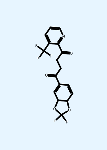 O=C(CCC(=O)c1ncccc1C(F)(F)F)C1=CC2OC(F)(F)OC2C=C1